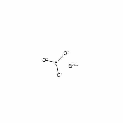 [Er+3].[O-]B([O-])[O-]